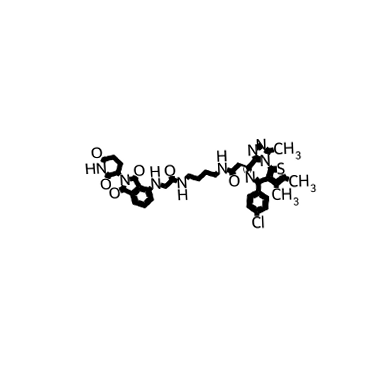 Cc1sc2c(c1C)C(c1ccc(Cl)cc1)=N[C@@H](CC(=O)NCCCCNC(=O)CNc1cccc3c1C(=O)N(C1CCC(=O)NC1=O)C3=O)c1nnc(C)n1-2